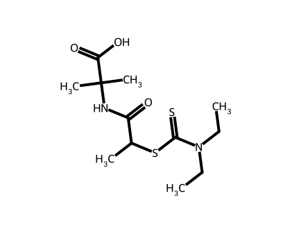 CCN(CC)C(=S)SC(C)C(=O)NC(C)(C)C(=O)O